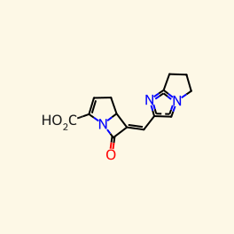 O=C(O)C1=CCC2/C(=C\c3cn4c(n3)CCC4)C(=O)N12